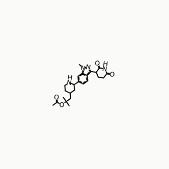 CC(=O)OC(C)(C)CC1CCNC(c2ccc3c(C4CCC(=O)NC4=O)nn(C)c3c2)C1